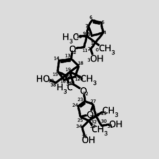 CC1(CO)C2C=CC(C2)C1(C)COC1=CC2CCC1C(C)(COC1=CC3OC1C(C)(CO)C3(C)CO)C2(C)CO